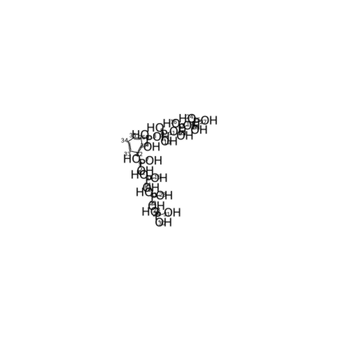 OP(O)O.OP(O)O.OP(O)O.OP(O)O.OP(O)O.OP(O)O.OP(O)O.OP(O)O.c1ccccc1